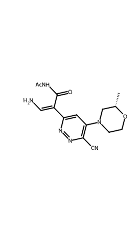 CC(=O)NC(=O)/C(=C\N)c1cc(N2CCO[C@@H](C)C2)c(C#N)nn1